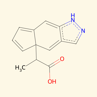 CC(C(=O)O)C12C=CC=C1C=c1[nH]ncc1=C2